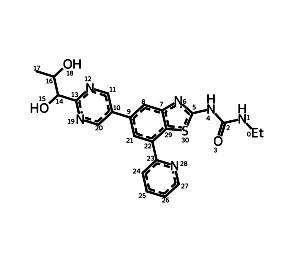 CCNC(=O)Nc1nc2cc(-c3cnc(C(O)C(C)O)nc3)cc(-c3ccccn3)c2s1